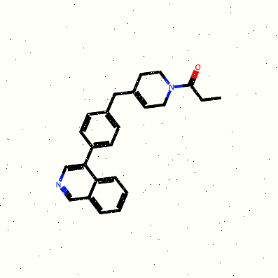 CCC(=O)N1CC=C(Cc2ccc(-c3cncc4ccccc34)cc2)CC1